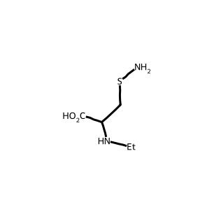 CCNC(CSN)C(=O)O